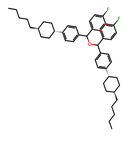 CCCCC[C@H]1CC[C@H](c2ccc(C(OC(c3ccc(F)cc3)c3ccc([C@H]4CC[C@H](CCCCC)CC4)cc3)c3ccc(F)cc3)cc2)CC1